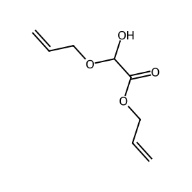 C=CCOC(=O)C(O)OCC=C